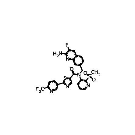 CS(=O)(=O)c1ncccc1N(Cc1ccc2cc(F)c(N)nc2c1)C(=O)c1cnc(-c2ccc(C(F)(F)F)nc2)s1